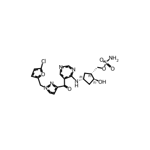 NS(=O)(=O)OC[C@H]1C[C@@H](Nc2ncncc2C(=O)c2ccn(Cc3ccc(Cl)o3)n2)C[C@@H]1O